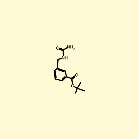 CC(C)(C)OC(=O)c1cccc(CNC(N)=O)c1